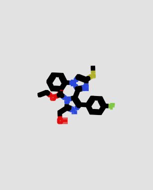 CCOC(C)n1c(CO)nc(-c2ccc(F)cc2)c1-c1nc(SC)cn1-c1ccccc1